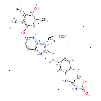 Cc1cc(Oc2ccc3nc(COc4ccc(CC5SC(=O)NC5=O)cc4)n(C)c3n2)c(C)c(C)c1O.Cl